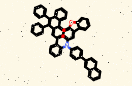 c1ccc(-c2c(-c3ccccc3)c3cc(-c4ccccc4N(c4ccc(-c5ccc6ccccc6c5)cc4)c4ccc5oc6ccccc6c5c4)ccc3c3ccccc23)cc1